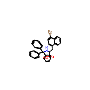 O=C(O)C(Cc1ccc(Br)c2ccccc12)NC(c1ccccc1)(c1ccccc1)c1ccccc1